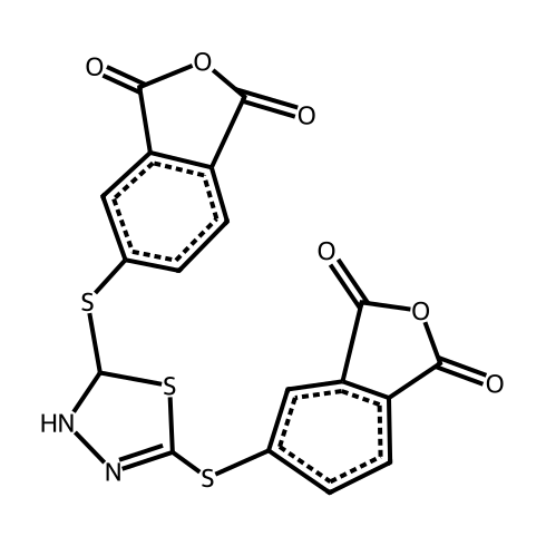 O=C1OC(=O)c2cc(SC3=NNC(Sc4ccc5c(c4)C(=O)OC5=O)S3)ccc21